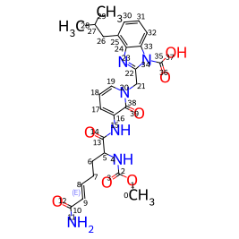 COC(=O)NC(CC/C=C/C(N)=O)C(=O)Nc1cccn(Cc2nc3c(CC(C)C)cccc3n2C(=O)O)c1=O